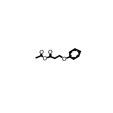 CC(=O)OC(=O)CCOc1ccccc1